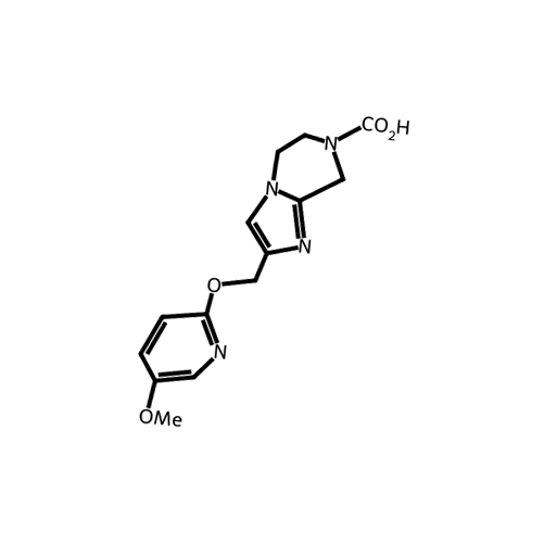 COc1ccc(OCc2cn3c(n2)CN(C(=O)O)CC3)nc1